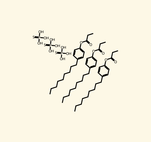 CCCCCCCCCc1ccc(OC(=O)CC)cc1.CCCCCCCCCc1ccc(OC(=O)CC)cc1.CCCCCCCCCc1ccc(OC(=O)CC)cc1.OP(O)(O)=S.OP(O)(O)=S.OP(O)(O)=S